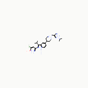 CC(C)c1c(-c2cc(Cl)c(=O)n(C)c2)[nH]c2ccc(C3CCN(Cc4cnn(C(C)C)c4)CC3)cc12